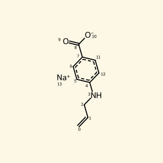 C=CCNc1ccc(C(=O)[O-])cc1.[Na+]